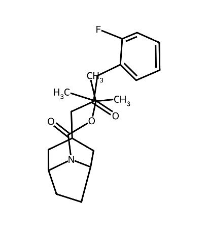 CC(C)(C)OC(=O)N1C2CCC1CC(CC(=O)Cc1ccccc1F)C2